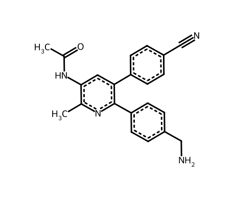 CC(=O)Nc1cc(-c2ccc(C#N)cc2)c(-c2ccc(CN)cc2)nc1C